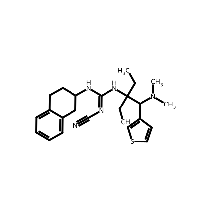 CCC(CC)(NC(=NC#N)NC1CCc2ccccc2C1)C(c1ccsc1)N(C)C